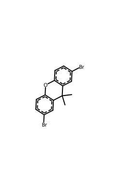 CC1(C)c2cc(Br)ccc2Oc2ccc(Br)cc21